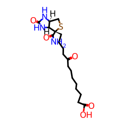 NC(=O)[C@@]1(CCCCC(=O)CCCCCCCC(=O)O)SC[C@@H]2NC(=O)N[C@@H]21